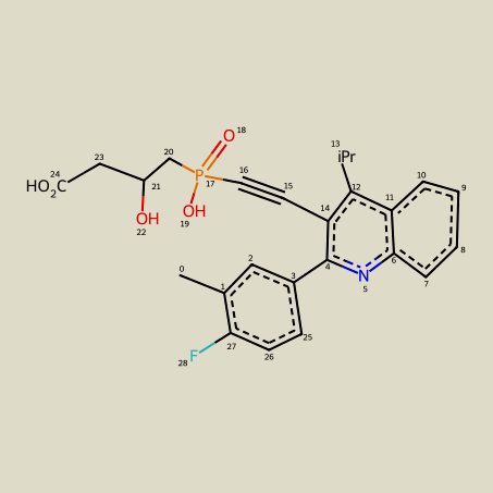 Cc1cc(-c2nc3ccccc3c(C(C)C)c2C#CP(=O)(O)CC(O)CC(=O)O)ccc1F